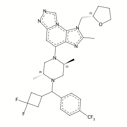 Cc1nc2c(N3C[C@@H](C)N(C(c4ccc(C(F)(F)F)cc4)C4CC(F)(F)C4)C[C@@H]3C)cc3nncn3c2n1C[C@@H]1CCCO1